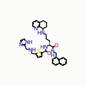 O=C(N[C@@H](CCCNC1CCCc2cccnc21)C(=O)NCc1cccc2ccccc12)c1ccc(CNCc2ncc[nH]2)s1